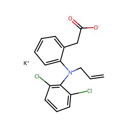 C=CCN(c1ccccc1CC(=O)[O-])c1c(Cl)cccc1Cl.[K+]